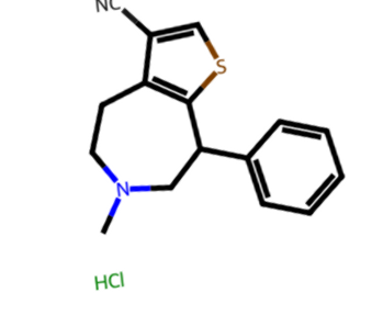 CN1CCc2c(C#N)csc2C(c2ccccc2)C1.Cl